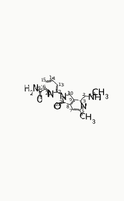 CNCc1nc(C)cc2c1CN(c1cccc(C(N)=O)n1)C2=O